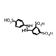 O=S(=O)(O)c1ccc(NNc2ccc(S(=O)(=O)O)cc2S(=O)(=O)O)cc1